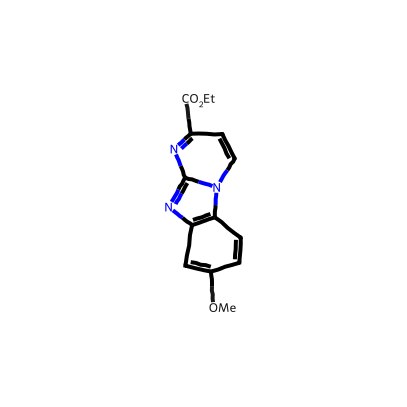 CCOC(=O)c1ccn2c(n1)nc1cc(OC)ccc12